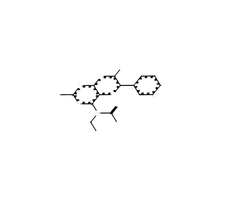 CCN(C(C)=O)c1nc(Cl)nc2nc(Cl)c(-c3ccccc3)nc12